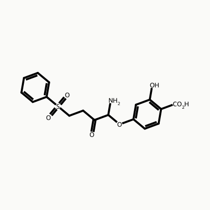 NC(Oc1ccc(C(=O)O)c(O)c1)C(=O)CCS(=O)(=O)c1ccccc1